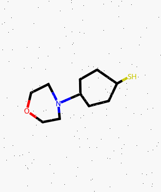 SC1CCC(N2CCOCC2)CC1